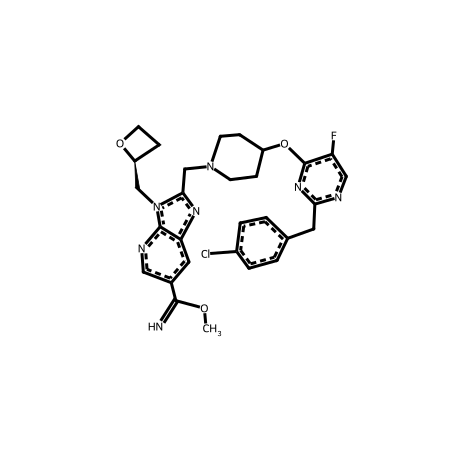 COC(=N)c1cnc2c(c1)nc(CN1CCC(Oc3nc(Cc4ccc(Cl)cc4)ncc3F)CC1)n2C[C@@H]1CCO1